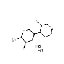 Cl.Cl.NC1CCN(C2CCOCC2F)CC1F